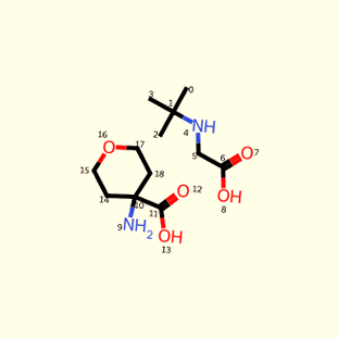 CC(C)(C)NCC(=O)O.NC1(C(=O)O)CCOCC1